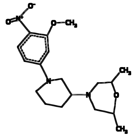 COc1cc(N2CCCC(N3CC(C)OC(C)C3)C2)ccc1[N+](=O)[O-]